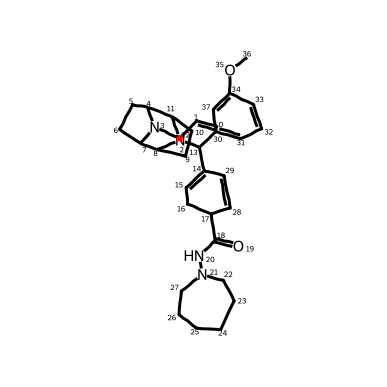 C=CCN1C2CCC1C1CCC2N1C(C1=CCC(C(=O)NN2CCCCCC2)C=C1)c1cccc(OC)c1